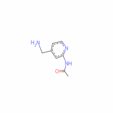 CC(=O)Nc1cc(CN)ccn1